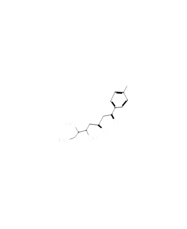 Cc1ccc(C(=O)CC(=O)CC(O)C(O)CO)cc1